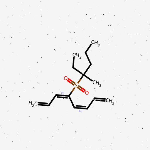 C=C/C=C\C(=C/C=C)S(=O)(=O)C(C)(CC)CCC